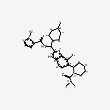 CCn1nccc1C(=O)NC(c1nc2c(F)c(C3CCCCN3C(=O)N(C)C)ccc2[nH]1)C1CCC(C)CC1